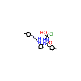 Cc1ccc(/C=C/CCNc2ccccc2NC(Cc2ccc(C)cc2)C(=O)N2CC(CO)(CCl)C2)cc1